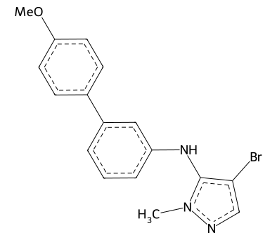 COc1ccc(-c2cccc(Nc3c(Br)cnn3C)c2)cc1